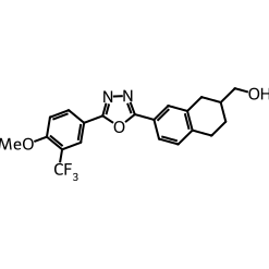 COc1ccc(-c2nnc(-c3ccc4c(c3)CC(CO)CC4)o2)cc1C(F)(F)F